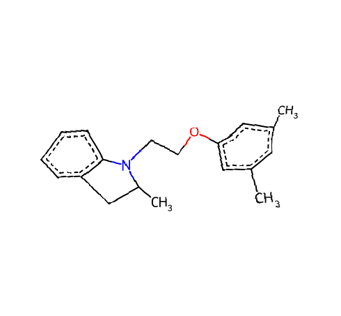 Cc1cc(C)cc(OCCN2c3ccccc3CC2C)c1